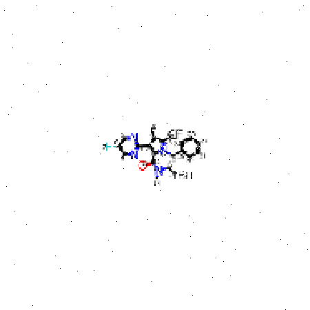 Cc1c(-c2ncc(F)cn2)c(C(=O)N(C)CC(C)(C)C)n(Cc2ccccc2)c1C(F)(F)F